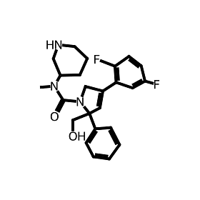 CN(C(=O)N1CC(c2cc(F)ccc2F)=CC1(CO)c1ccccc1)C1CCCNC1